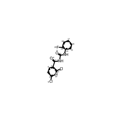 O=C(NC(=O)c1ccc(Cl)nc1Cl)Nc1ccccc1F